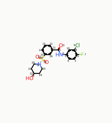 O=C(Nc1ccc(F)c(Cl)c1)c1cccc(S(=O)(=O)N2CCC(O)CC2)c1